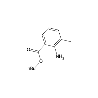 CCCCOC(=O)c1cccc(C)c1N